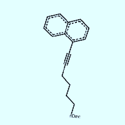 CCCCCCCCCCCCCCC#Cc1cccc2ccccc12